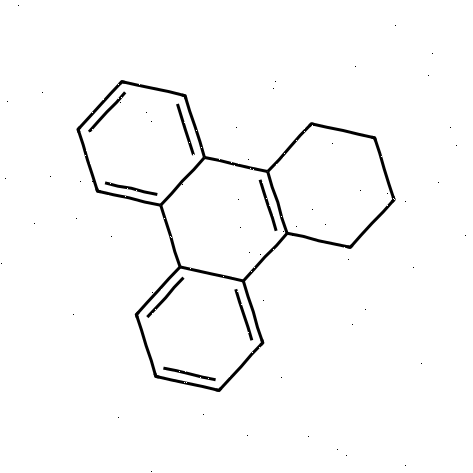 c1ccc2c(c1)c1c(c3ccccc32)CCCC1